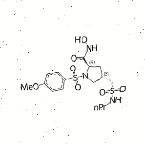 [CH2]CCNS(=O)(=O)C[C@H]1C[C@H](C(=O)NO)N(S(=O)(=O)c2ccc(OC)cc2)C1